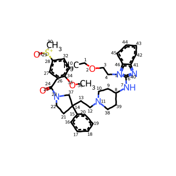 CCOCCn1c(NC2CCN(CCC3(c4ccccc4)CCN(C(=O)c4cc([S+](C)[O-])ccc4OC)C3)CC2)nc2ccccc21